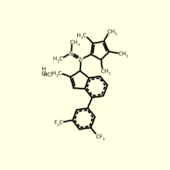 CC1=Cc2c(-c3cc(C(F)(F)F)cc(C(F)(F)F)c3)cccc2[CH]1[Zr]([C]1=C(C)C(C)=C(C)C1C)=[Si](C)C.Cl.Cl